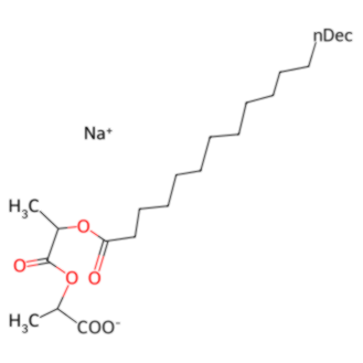 CCCCCCCCCCCCCCCCCCCCCC(=O)OC(C)C(=O)OC(C)C(=O)[O-].[Na+]